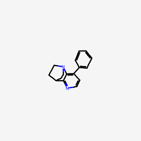 c1ccc(-c2ccnc3c2N2CCC3CC2)cc1